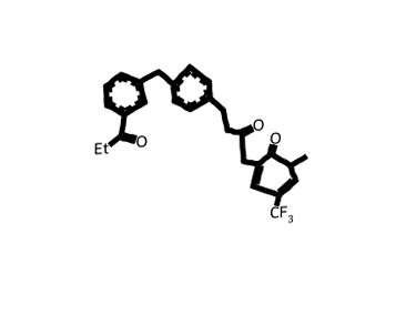 CCC(=O)c1cccc(Cc2ccc(CCC(=O)CC3=CC(C(F)(F)F)=CC(C)C3=O)cc2)c1